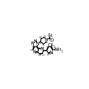 CCC(=O)N1CCC(n2nnc3cnc4ccc(-c5cnc(N)c(C(F)(F)F)c5)nc4c32)CC1